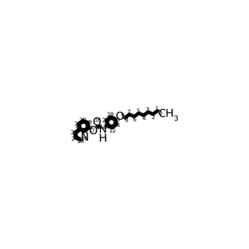 CCCCCCCCCOc1ccc(NC(=O)Oc2cccc3cccnc23)cc1